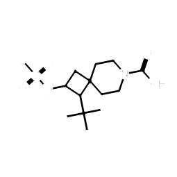 CC(C)(C)C1C(OS(C)(=O)=O)CC12CCN(C(=O)O)CC2